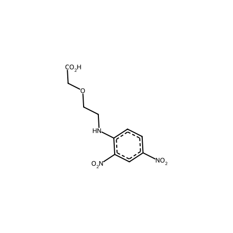 O=C(O)COCCNc1ccc([N+](=O)[O-])cc1[N+](=O)[O-]